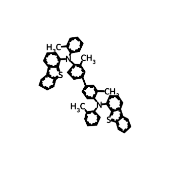 Cc1ccccc1N(c1ccc(-c2ccc(N(c3ccccc3C)c3cccc4c3sc3ccccc34)c(C)c2)cc1C)c1cccc2c1sc1ccccc12